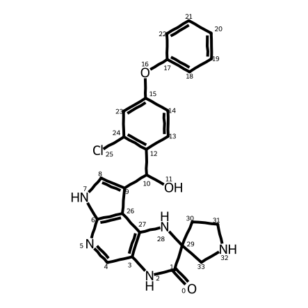 O=C1Nc2cnc3[nH]cc(C(O)c4ccc(Oc5ccccc5)cc4Cl)c3c2NC12CCNC2